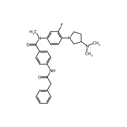 CN(C(=O)c1ccc(NC(=O)Cc2ccccc2)cc1)c1ccc(N2CCC(N(C)C)C2)c(F)c1